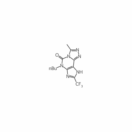 CCCCn1c(=O)n2c(C)nnc2c2[nH]c(C(F)(F)F)nc21